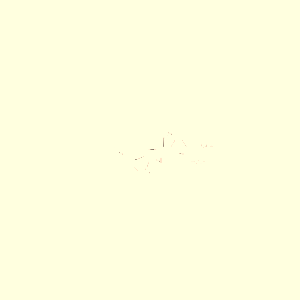 COc1cc2c(-c3cc4c(CN5CCC(O)CC5)ccnc4[nH]3)cn(C)c2cc1OC